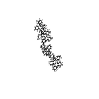 c1ccc(N2c3ccccc3-c3nc(-n4c5ccccc5c5c6c7ccc(-c8cccc(N9c%10ccccc%10-c%10nc(-c%11ccc(-n%12c%13ccccc%13c%13c%14c%15ccccc%15c%15ccccc%15c%14c%14ccccc%14c%13%12)cc%11)nc%11cccc9c%10%11)c8)cc7c7ccccc7c6c6ccccc6c54)nc4cccc2c34)cc1